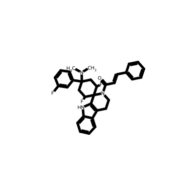 CN(C)C1(c2cccc(F)c2)CC(F)C2(c3[nH]c4ccccc4c3CCN2C(=O)/C=C/c2ccccc2)C(F)C1